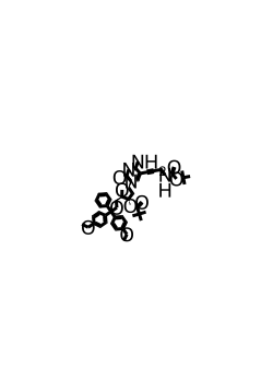 COc1ccc(C(OC[C@H]2O[C@@H](n3cc(C#CCNC(=O)OC(C)(C)C)c(N)nc3=O)C[C@@H]2OC(=O)C(C)(C)C)(c2ccccc2)c2ccc(OC)cc2)cc1